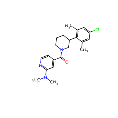 Cc1cc(Cl)cc(C)c1C1CCCN(C(=O)c2ccnc(N(C)C)c2)C1